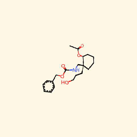 CC(=O)O[C@H]1CCCC[C@]1(CCCO)CNC(=O)OCc1ccccc1